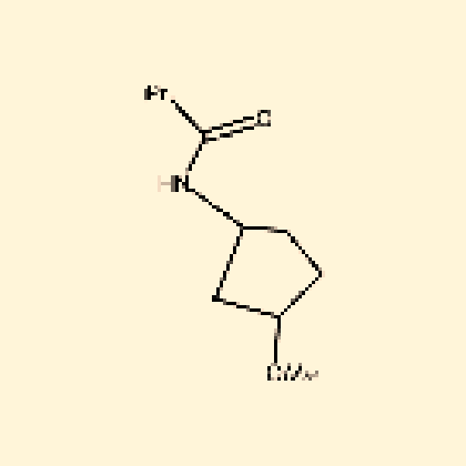 COC1CCC(NC(=O)C(C)C)C1